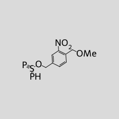 COCc1ccc(COS(#P)=P)cc1[N+](=O)[O-]